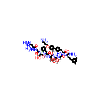 CCc1cc(OCCCCN)ccc1-c1ccc(C[C@H](NC(=O)[C@H](CC(=O)O)NC(=O)[C@H](CO)NC(=O)[C@@H](NC(=O)[C@](C)(Cc2ccccc2F)NC(=O)[C@@H](NC(=O)CNC(=O)[C@@H](N)Cc2nn[nH]n2)[C@@H](C)O)[C@@H](C)O)C(=O)N[C@@H](CCCc2cc(C)cc(C)c2)C(N)=O)cc1